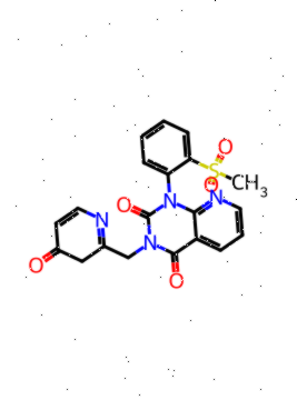 CS(=O)(=O)c1ccccc1-n1c(=O)n(CC2=NC=CC(=O)C2)c(=O)c2cccnc21